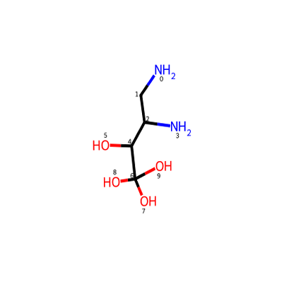 NCC(N)C(O)C(O)(O)O